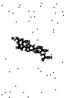 CCC(CC)(c1ccc(C(=O)N[C@@H](CCC(=O)O)C(=O)O)cc1)c1c[nH]c2nc(N)nc(O)c12